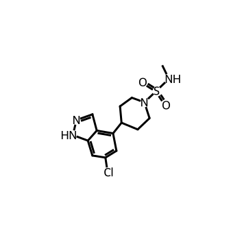 CNS(=O)(=O)N1CCC(c2cc(Cl)cc3[nH]ncc23)CC1